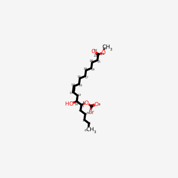 CCCCCC(OC(=O)Br)C(O)C/C=C\CCCCCCCC(=O)OC